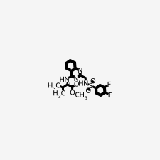 COC(=O)[C@@H](Nc1nc(CNS(=O)(=O)c2ccc(F)c(F)c2)nc2ccccc12)C(C)C